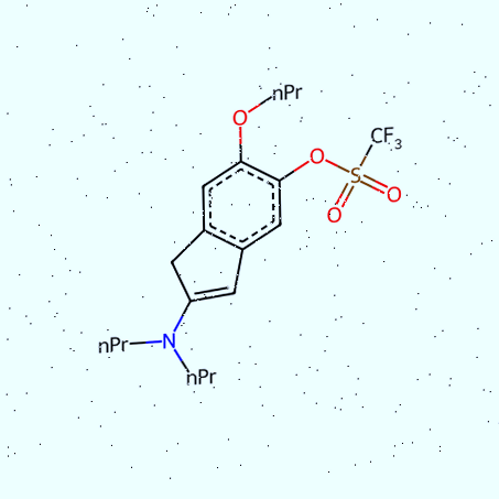 CCCOc1cc2c(cc1OS(=O)(=O)C(F)(F)F)C=C(N(CCC)CCC)C2